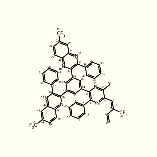 C=C/C(=C\c1nc(-c2ccccc2)c(-c2cc(-c3nc4ccc(C(F)(F)F)cc4nc3-c3ccccc3)cc(-c3nc4ccc(C(F)(F)F)cc4nc3-c3ccccc3)c2)nc1C)C(F)(F)F